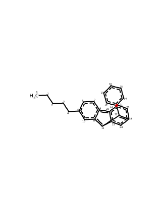 CCCCCc1ccc2c(c1)=C1C(c3ccccc3)=c3ccc=2c1c3